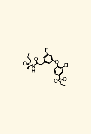 C=S(=O)(CCC)NC(=O)Cc1cc(F)cc(Oc2ccc(S(=O)(=O)CC)cc2Cl)c1